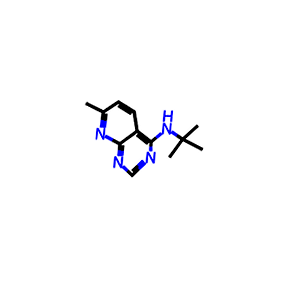 Cc1ccc2c(NC(C)(C)C)ncnc2n1